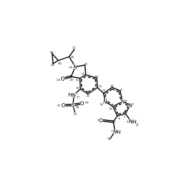 CNC(=O)c1c(N)nn2ccc(-c3cc4c(c(NS(C)(=O)=O)c3)C(=O)N(C(C)C3CC3)C4)nc12